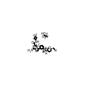 Cc1ccc(S(=O)(=O)N[C@H]2CC[C@H](CC#N)OC2)cc1-c1cnc2c(N)nc(C(=O)NC3CC(F)(F)C3)cn12.O=C(O)C(F)(F)F